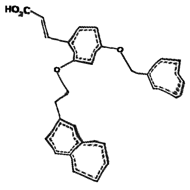 O=C(O)/C=C/c1ccc(OCc2ccccc2)cc1OCCc1ccc2ccccc2c1